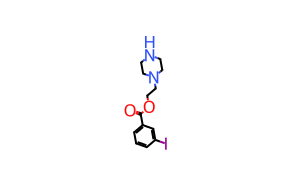 O=C(OCCN1CCNCC1)c1cccc(I)c1